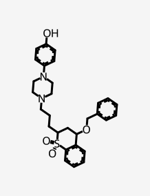 O=S1(=O)c2ccccc2C(OCc2ccccc2)CC1CCCN1CCN(c2ccc(O)cc2)CC1